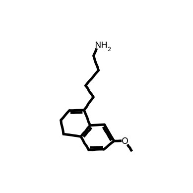 COc1ccc2c(c1)C(CCCCN)=CCC2